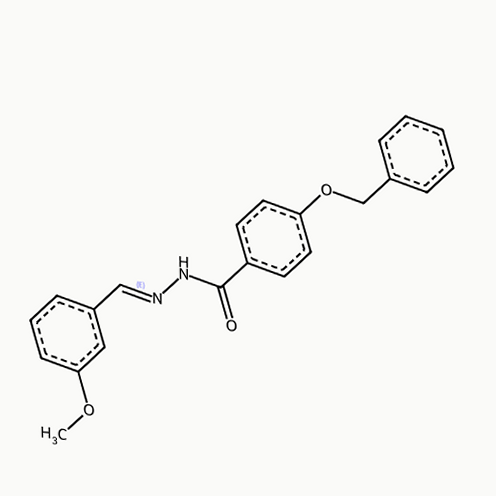 COc1cccc(/C=N/NC(=O)c2ccc(OCc3ccccc3)cc2)c1